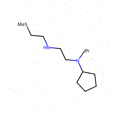 CSCCNCCN(C(C)C)C1CCCC1